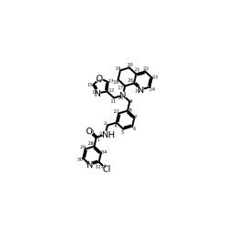 O=C(NCc1cccc(CN(Cc2cocn2)C2CCCc3cccnc32)c1)c1ccnc(Cl)c1